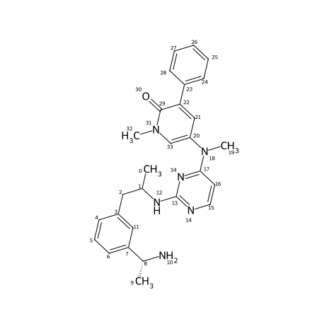 CC(Cc1cccc([C@@H](C)N)c1)Nc1nccc(N(C)c2cc(-c3ccccc3)c(=O)n(C)c2)n1